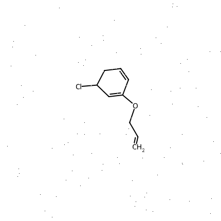 C=CCOC1=CC(Cl)CC=C1